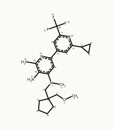 COCC1(CN(C)c2cc(-c3cc(C4CC4)nc(C(F)(F)F)c3)nc(N)c2N)CCCC1